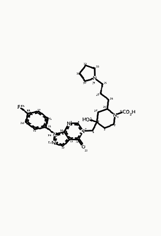 O=C(O)N1CCC(O)(Cn2cnc3c(cnn3-c3ccc(F)cc3)c2=O)CC1CCCN1CCCC1